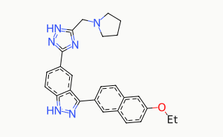 CCOc1ccc2cc(-c3n[nH]c4ccc(-c5n[nH]c(CN6CCCC6)n5)cc34)ccc2c1